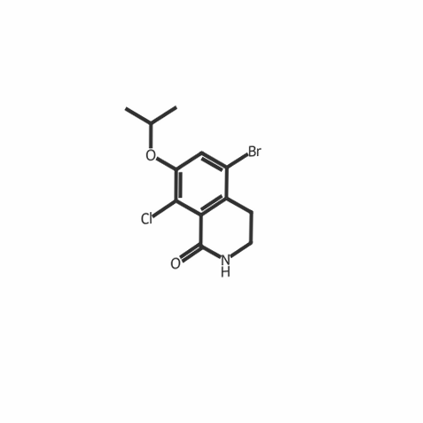 CC(C)Oc1cc(Br)c2c(c1Cl)C(=O)NCC2